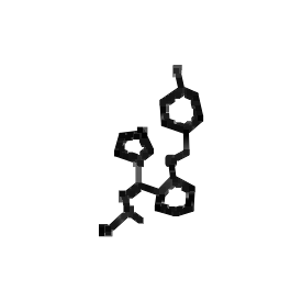 CCN(C)/N=C(\c1ccccc1OCc1ccc(F)cc1)n1ccnc1